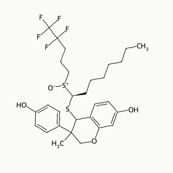 CCCCCCC[C@@H](SC1c2ccc(O)cc2OCC1(C)c1ccc(O)cc1)[S+]([O-])CCCC(F)(F)C(F)(F)F